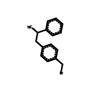 N#CC(Cc1ccc(CBr)cc1)c1ccccc1